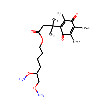 COC1=C(OC)C(=O)C(C(C)(C)CC(=O)OCCCCC(CON)ON)=C(C)C1=O